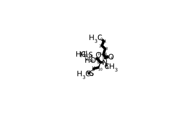 CCCCCC(=O)N(C)[C@@H](CCSC)C(=O)O.Cl.S